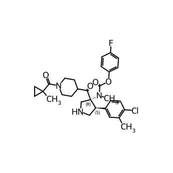 Cc1cc([C@H]2CNC[C@]2(C(=O)C2CCN(C(=O)C3(C)CC3)CC2)N(C)C(=O)Oc2ccc(F)cc2)ccc1Cl